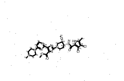 COC(=O)c1sc(N2CC[C@@H](NC(=O)c3[nH]c(C)c(Cl)c3Cl)[C@@H](OC)C2)nc1-c1nccc(N2CCN(C)CC2)n1